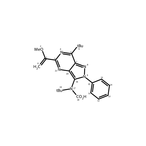 C=C(OC)c1nc(C(C)(C)C)c2nn(-c3ccccc3)c(N(C(=O)O)C(C)(C)C)c2n1